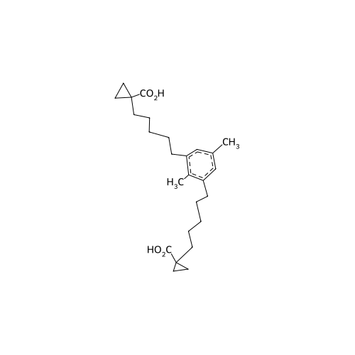 Cc1cc(CCCCCC2(C(=O)O)CC2)c(C)c(CCCCCC2(C(=O)O)CC2)c1